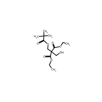 CCOC(=O)C(CO)(COC(=O)C(C)(C)C)C(=O)OCC